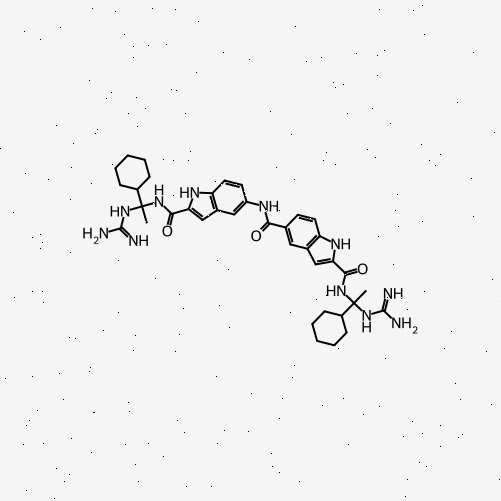 CC(NC(=N)N)(NC(=O)c1cc2cc(NC(=O)c3ccc4[nH]c(C(=O)NC(C)(NC(=N)N)C5CCCCC5)cc4c3)ccc2[nH]1)C1CCCCC1